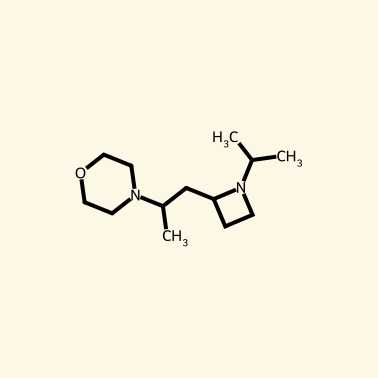 CC(CC1CCN1C(C)C)N1CCOCC1